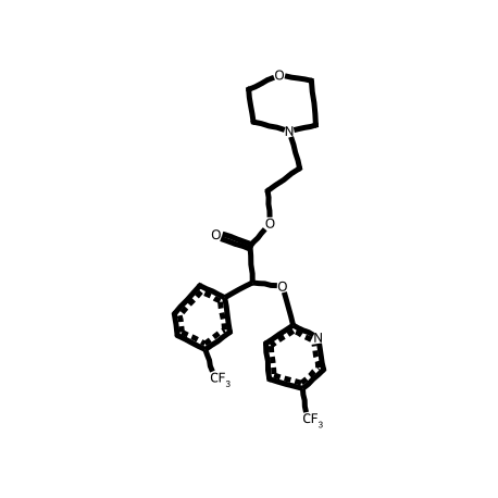 O=C(OCCN1CCOCC1)C(Oc1ccc(C(F)(F)F)cn1)c1cccc(C(F)(F)F)c1